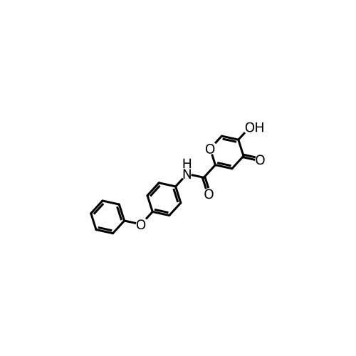 O=C(Nc1ccc(Oc2ccccc2)cc1)c1cc(=O)c(O)co1